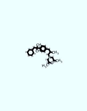 CC(Cc1ccc(C(C)(C)CC2CCCCC2)cc1)CN1CC(C)OC(C)C1